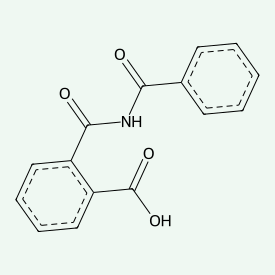 O=C(NC(=O)c1ccccc1C(=O)O)c1ccccc1